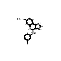 Cc1cccc(Nc2nc3cc(C(=O)O)ccc3c3scnc23)c1